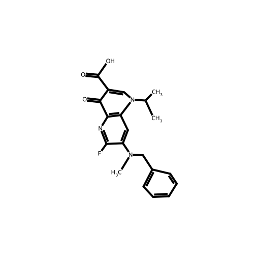 CC(C)n1cc(C(=O)O)c(=O)c2nc(F)c(N(C)Cc3ccccc3)cc21